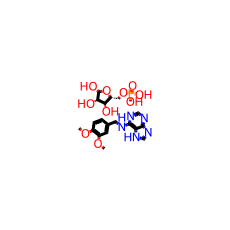 COc1ccc(CNc2ncnc3nc[nH]c23)cc1OC.O=P(O)(O)OC[C@H]1OC(O)[C@H](O)[C@@H]1O